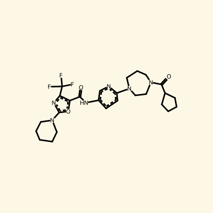 O=C(Nc1ccc(N2CCCN(C(=O)C3CCCC3)CC2)nc1)c1oc(N2CCCCC2)nc1C(F)(F)F